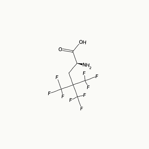 N[C@@H](CC(C(F)(F)F)(C(F)(F)F)C(F)(F)F)C(=O)O